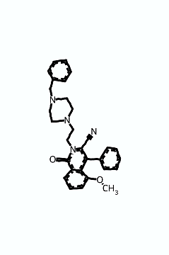 COc1cccc2c(=O)n(CCN3CCN(Cc4ccccc4)CC3)c(C#N)c(-c3ccccc3)c12